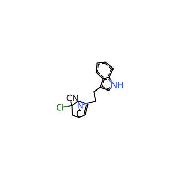 N#CC1(Cl)CC2C=CC1N(CCc1c[nH]c3ccccc13)C2